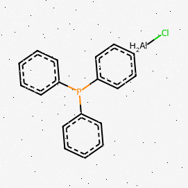 [AlH2][Cl].c1ccc(P(c2ccccc2)c2ccccc2)cc1